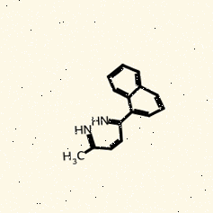 CC(=N)/C=C\C(=N)c1cccc2ccccc12